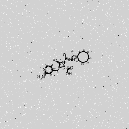 C[C@@H](NC(=O)N1C(=O)[C@H](Cc2ccnc(N)c2)[C@H]1C(=O)O)C1CCCCCCC1